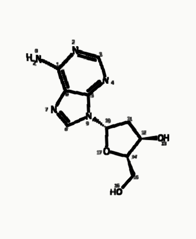 Nc1ncnc2c1ncn2[C@@H]1C[C@@H](O)[C@@H](CO)O1